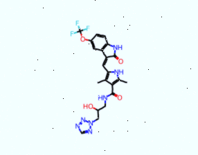 Cc1[nH]c(C=C2C(=O)Nc3ccc(OC(F)(F)F)cc32)c(C)c1C(=O)NCC(O)Cn1ncnn1